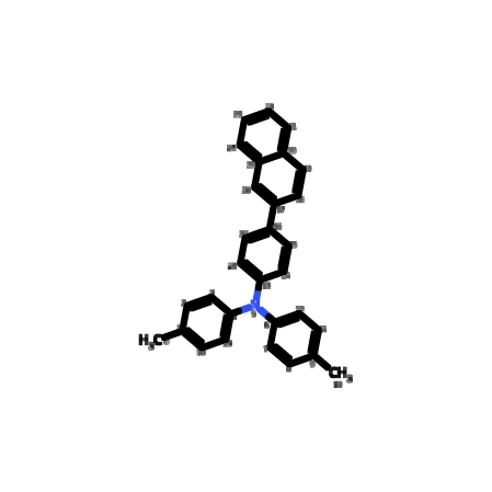 Cc1ccc(N(c2ccc(C)cc2)c2ccc(-c3ccc4ccccc4c3)cc2)cc1